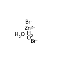 O.O.[Br-].[Br-].[Zn+2]